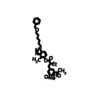 CCC(Cc1ccc(OC)c([C@H](C)O)c1)C(=O)Oc1ccc2c(nnn2CCCCCCOCc2ccccc2)c1C